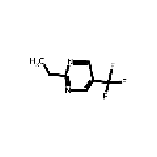 CCc1ncc(C(F)(F)F)cn1